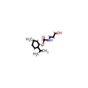 CC(C)C1CC[C@@H](C)C[C@@H]1OC(=O)NCCCO